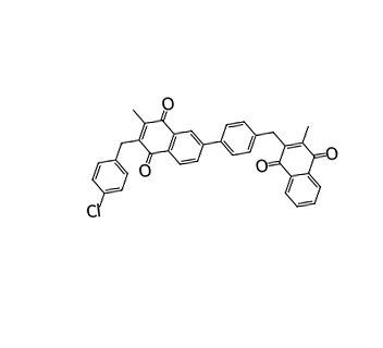 CC1=C(Cc2ccc(-c3ccc4c(c3)C(=O)C(C)=C(Cc3ccc(Cl)cc3)C4=O)cc2)C(=O)c2ccccc2C1=O